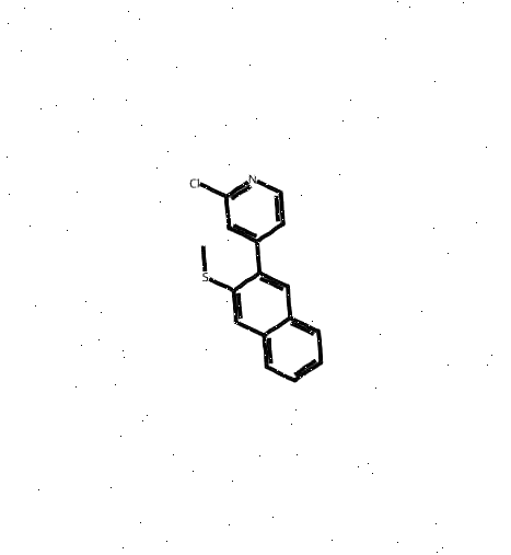 CSc1cc2ccccc2cc1-c1ccnc(Cl)c1